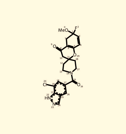 COC1(F)C=CC2=C(C1)C(=O)CC1(CCN(C(=O)c3cc(Cl)c4[nH]ncc4c3)CC1)O2